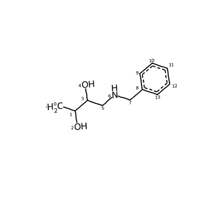 [CH2]C(O)C(O)CNCc1ccccc1